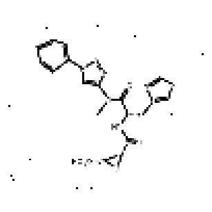 CN(C(=O)[C@H](Cc1cscn1)NC(=O)[C@H]1O[C@@H]1C(=O)O)c1cn(-c2ccccc2)nn1